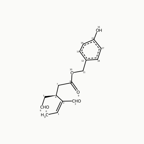 C/C=C(/C=O)[C@@H](CC=O)CC(=O)OCc1ccc(O)cc1